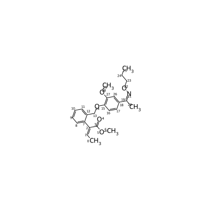 CC=C(C(=O)OC)c1ccccc1COc1ccc(/C(C)=N\OCCC)cc1OC